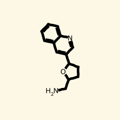 NCC1CCC(c2cnc3ccccc3c2)O1